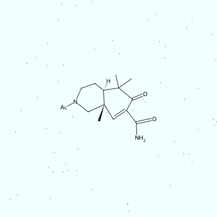 CC(=O)N1CC[C@H]2C(C)(C)C(=O)C(C(N)=O)=C[C@]2(C)C1